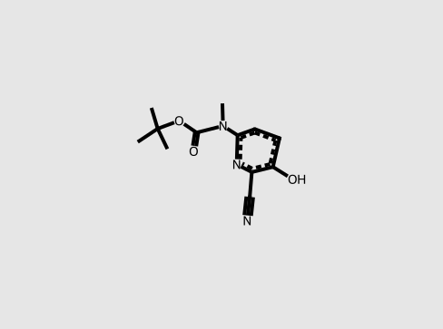 CN(C(=O)OC(C)(C)C)c1ccc(O)c(C#N)n1